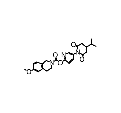 COc1ccc2c(c1)CCN(C(=O)Oc1ccc(N3C(=O)CC(C(C)C)CC3=O)cn1)C2